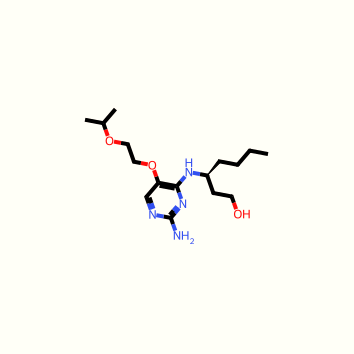 CCCC[C@@H](CCO)Nc1nc(N)ncc1OCCOC(C)C